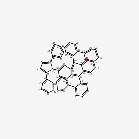 c1ccc(-c2ccccc2-c2c3ccccc3c(-c3ccccc3-c3ccccc3)c3cc(-n4c(-c5ccccc5)ccc4-c4ccccc4)ccc23)cc1